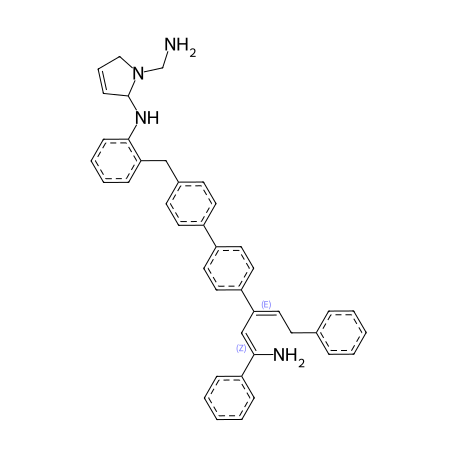 NCN1CC=CC1Nc1ccccc1Cc1ccc(-c2ccc(C(/C=C(\N)c3ccccc3)=C/Cc3ccccc3)cc2)cc1